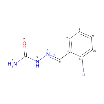 NC(=O)N/N=C/c1ccccc1I